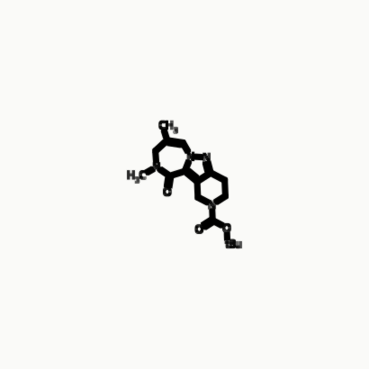 CC1=Cn2nc3c(c2C(=O)N(C)C1)CN(C(=O)OC(C)(C)C)CC3